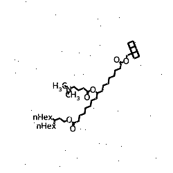 CCCCCCC(CCCCCC)CCOC(=O)CCCCCCCC(CCCCCCCC(=O)OCC12C3C4C5C3C1C5C42)OC(=O)CCCN(C)C